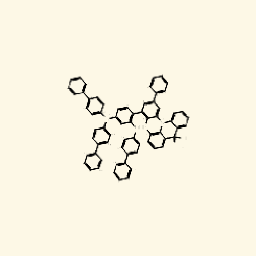 CC1(C)c2ccccc2N2c3cc(-c4ccccc4)cc(-c4ccc(N(c5ccc(-c6ccccc6)cc5)c5ccc(-c6ccccc6)cc5)cc4Nc4ccc(-c5ccccc5)cc4)c3Bc3cccc1c32